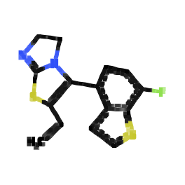 C=CC1=C(c2ccc(F)c3sccc23)N2CCN=C2S1